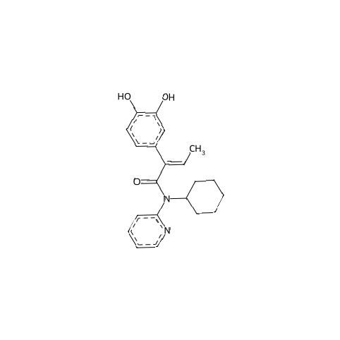 C/C=C(/C(=O)N(c1ccccn1)C1CCCCC1)c1ccc(O)c(O)c1